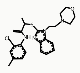 C=C(Nc1ccc(C)cc1Cl)C(C)Sc1nc2ccccc2n1CCN1CCOCC1